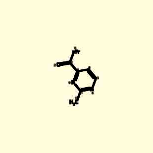 CCCC(=O)c1ccnc(C)n1